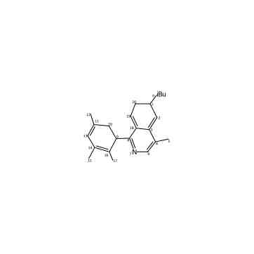 CCC(C)C1C=c2c(C)cnc(C3CC(C)=CC(C)=C3C)c2=CC1